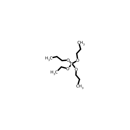 CCC[O][Ti]([O]CC)([O]CCC)[O]CCC